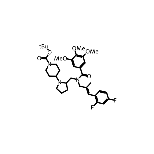 COc1cc(C(=O)N(C/C(C)=C/c2ccc(F)cc2F)CC2CCCN2C2CCN(C(=O)OC(C)(C)C)CC2)cc(OC)c1OC